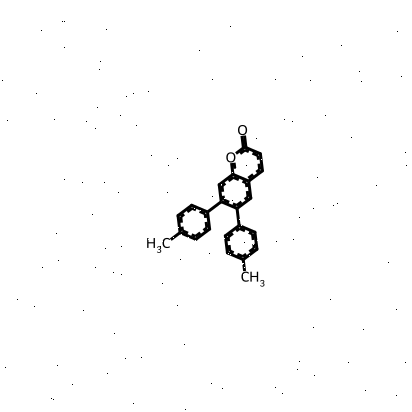 Cc1ccc(-c2cc3ccc(=O)oc3cc2-c2ccc(C)cc2)cc1